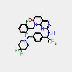 C[C@H](Nc1ncc2ccc(=O)n(Cc3c(F)cccc3F)c2n1)c1ccc(CN2CCC(F)(F)CC2)cc1